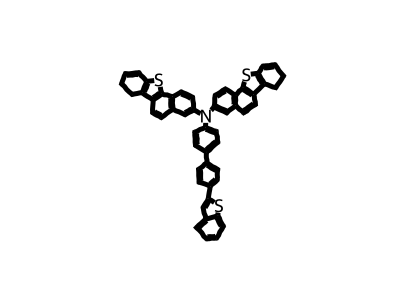 C1=Cc2sc3c(ccc4cc(N(c5ccc(-c6ccc(-c7cc8ccccc8s7)cc6)cc5)c5ccc6c(ccc7c8c(sc76)C=CCC8)c5)ccc43)c2CC1